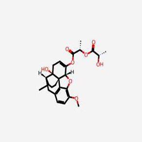 COc1ccc2c3c1O[C@H]1C(OC(=O)[C@H](C)OC(=O)[C@H](C)O)=CC[C@@]4(O)[C@@H](C2)C(C)CC[C@]314